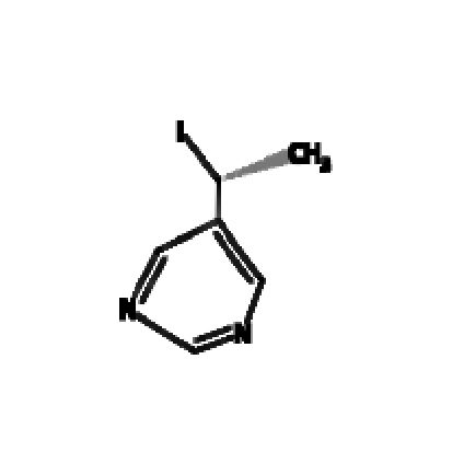 C[C@@H](I)c1cncnc1